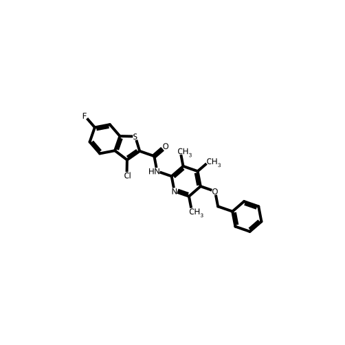 Cc1nc(NC(=O)c2sc3cc(F)ccc3c2Cl)c(C)c(C)c1OCc1ccccc1